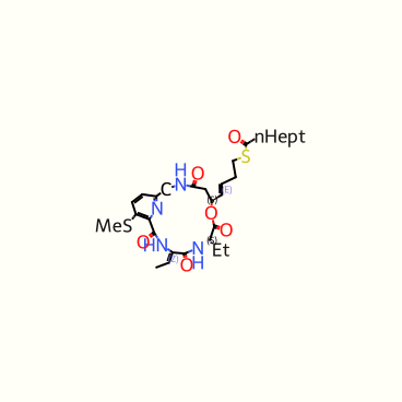 C/C=C1\NC(=O)c2nc(ccc2SC)CNC(=O)C[C@@H](/C=C/CCSC(=O)CCCCCCC)OC(=O)[C@H](CC)NC1=O